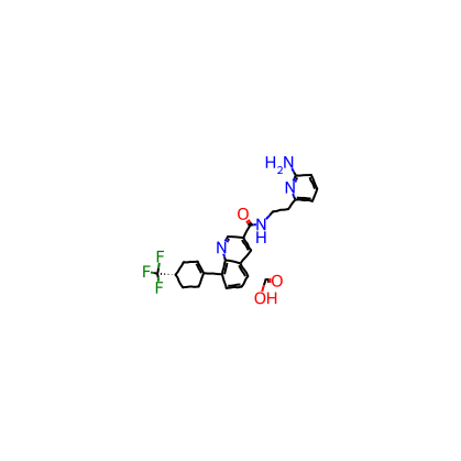 Nc1cccc(CCNC(=O)c2cnc3c(C4=CC[C@@H](C(F)(F)F)CC4)cccc3c2)n1.O=CO